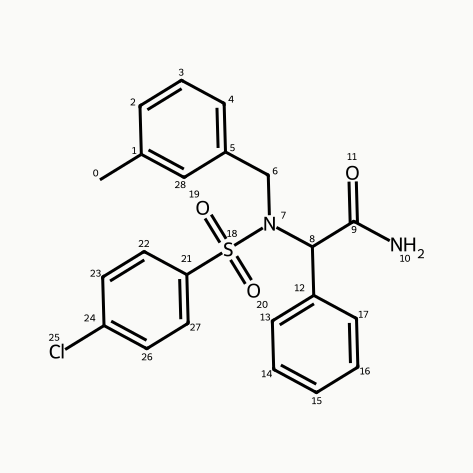 Cc1cccc(CN(C(C(N)=O)c2ccccc2)S(=O)(=O)c2ccc(Cl)cc2)c1